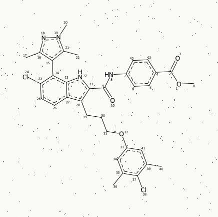 COC(=O)c1ccc(NC(=O)c2[nH]c3c(-c4c(C)nn(C)c4C)c(Cl)ccc3c2CCCOc2cc(C)c(Cl)c(C)c2)cc1